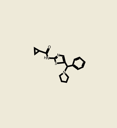 O=C(Nc1ncc(C(c2ccccc2)N2CCCC2)s1)C1CC1